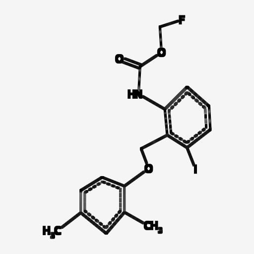 Cc1ccc(OCc2c(I)cccc2NC(=O)OCF)c(C)c1